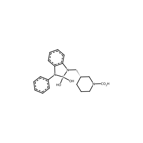 O=C(O)N1CCC[C@H](CN2c3ccccc3N(c3ccccc3)S2(O)O)C1